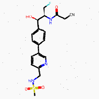 CS(=O)(=O)NCc1ccc(-c2ccc([C@@H](O)[C@@H](CF)NC(=O)CC#N)cc2)cn1